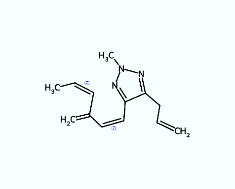 C=CCc1nn(C)nc1/C=C\C(=C)/C=C\C